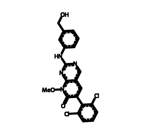 COn1c(=O)c(-c2c(Cl)cccc2Cl)cc2cnc(Nc3cccc(CO)c3)nc21